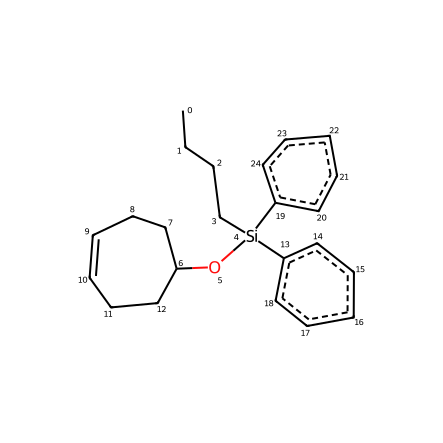 CCCC[Si](OC1CCC=CCC1)(c1ccccc1)c1ccccc1